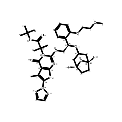 COCCOc1ccccc1[C@H](COc1nc2sc(-n3nccn3)c(C)c2c(=O)n1C(C)(C)C(=O)OC(C)(C)C)OC1C[C@H]2CC[C@@H](C1)O2